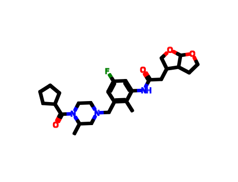 Cc1c(CN2CCN(C(=O)C3CCCC3)C(C)C2)cc(F)cc1NC(=O)CC1COC2OCCC12